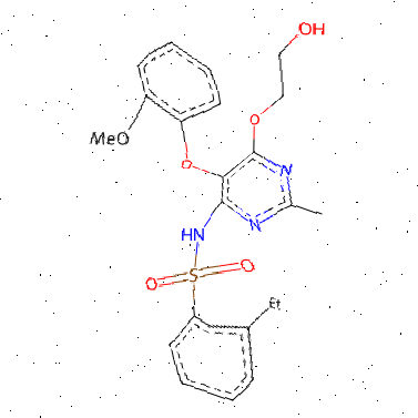 CCc1ccccc1S(=O)(=O)Nc1nc(C)nc(OCCO)c1Oc1ccccc1OC